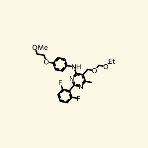 CCOCOCc1c(C)nc(-c2c(F)cccc2F)nc1Nc1ccc(OCCOC)cc1